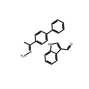 CC(=NN)c1ccc(-c2ccccc2)cc1.O=Cc1c[nH]c2ccccc12